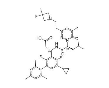 Cc1cc(C)c(-c2cc(C3CC3)c(F)c([C@H](CC(=O)O)NC(=O)[C@H](CC(C)C)n3nc(CCN4CC(C)(F)C4)cc(C)c3=O)c2F)c(C)c1